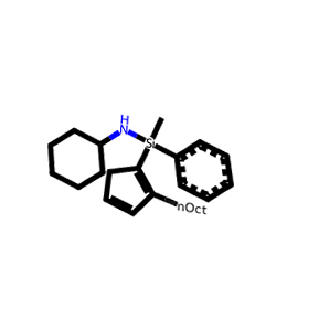 CCCCCCCCC1=C([Si](C)(NC2CCCCC2)c2ccccc2)CC=C1